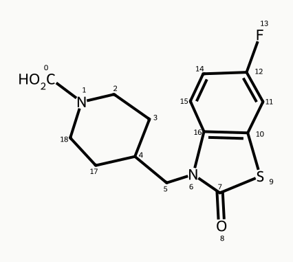 O=C(O)N1CCC(Cn2c(=O)sc3cc(F)ccc32)CC1